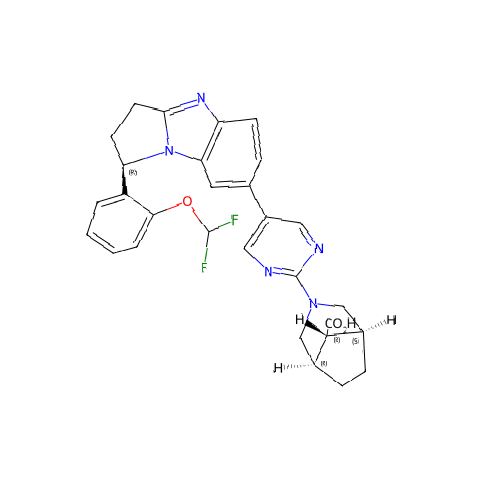 O=C(O)[C@@H]1[C@@H]2CC[C@H]1CN(c1ncc(-c3ccc4nc5n(c4c3)[C@@H](c3ccccc3OC(F)F)CC5)cn1)C2